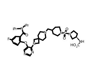 CC(C)N(C(=O)c1cc(F)ccc1Oc1cncnc1N1CC2(CCN(CC3CCN(S(=O)(=O)N4CC[C@@H](NC(=O)O)C4)CC3)CC2)C1)C(C)C